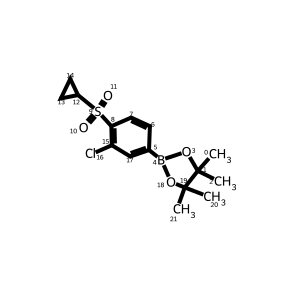 CC1(C)OB(c2ccc(S(=O)(=O)C3CC3)c(Cl)c2)OC1(C)C